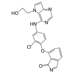 O=C1N=Cc2cccc(Oc3ccc(Nc4ncnc5ccn(CCO)c45)cc3Cl)c21